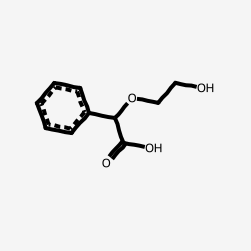 O=C(O)C(OCCO)c1ccccc1